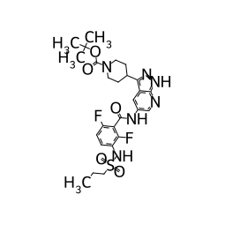 CCCS(=O)(=O)Nc1ccc(F)c(C(=O)Nc2cnc3[nH]nc(C4CCN(C(=O)OC(C)(C)C)CC4)c3c2)c1F